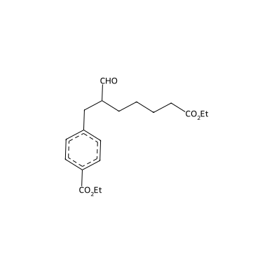 CCOC(=O)CCCCC(C=O)Cc1ccc(C(=O)OCC)cc1